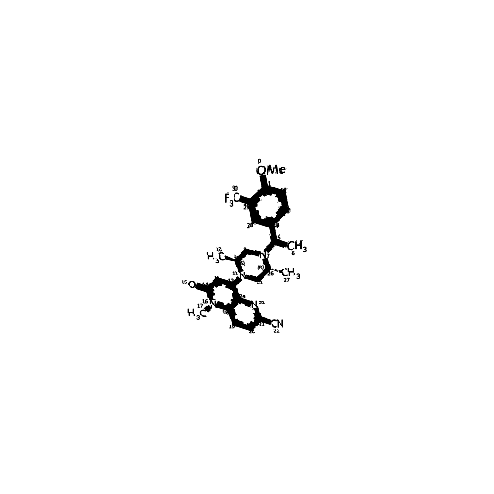 COc1ccc(C(C)N2C[C@H](C)N(c3cc(=O)n(C)c4ccc(C#N)nc34)C[C@H]2C)cc1C(F)(F)F